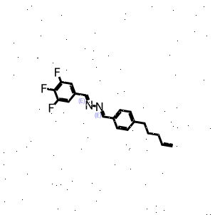 C=CCCCc1ccc(/C=N/N=C/c2cc(F)c(F)c(F)c2)cc1